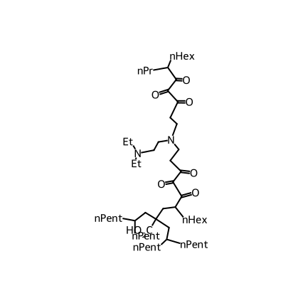 CCCCCCC(CCC)C(=O)C(=O)C(=O)CCN(CCC(=O)C(=O)C(=O)C(CCCCCC)CC(CC(CCCCC)CCCCC)(CC(CCCCC)CCCCC)C(=O)O)CCN(CC)CC